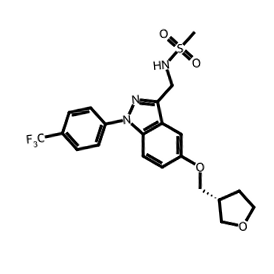 CS(=O)(=O)NCc1nn(-c2ccc(C(F)(F)F)cc2)c2ccc(OC[C@@H]3CCOC3)cc12